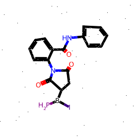 O=C(Nc1ccccc1)c1ccccc1N1C(=O)CC(B(P)I)C1=O